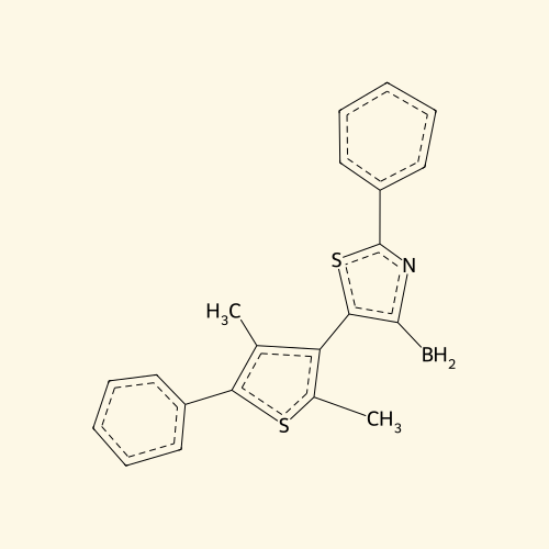 Bc1nc(-c2ccccc2)sc1-c1c(C)sc(-c2ccccc2)c1C